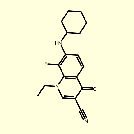 CCn1cc(C#N)c(=O)c2ccc(NC3CCCCC3)c(F)c21